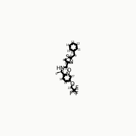 C[C@@H](NC(=O)c1csc(Cc2ccccc2)n1)c1ccc(OCC(F)(F)F)cn1